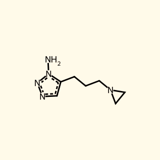 Nn1nncc1CCCN1CC1